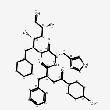 C=C[C@@H](C[C@@H](O)[C@H](CC1CCCCC1)NC(=O)[C@H](Cc1c[nH]cn1)NC(=O)[C@@H](CC(=O)N1CCC(C(=O)O)CC1)Cc1ccccc1)C(C)C